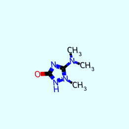 CN(C)c1nc(=O)[nH]n1C